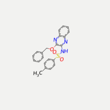 Cc1ccc(S(=O)(=O)Nc2nc3ccccc3nc2OCc2ccccc2)cc1